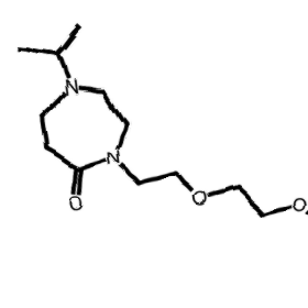 COCCOCCN1CCN(C(C)C)CCC1=O